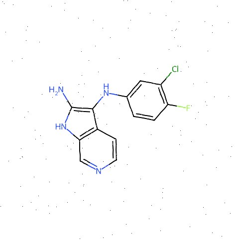 Nc1[nH]c2cnccc2c1Nc1ccc(F)c(Cl)c1